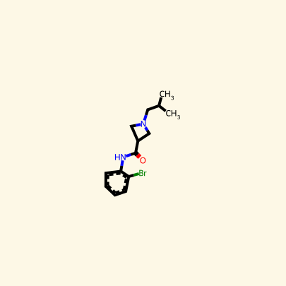 C[C](C)CN1CC(C(=O)Nc2ccccc2Br)C1